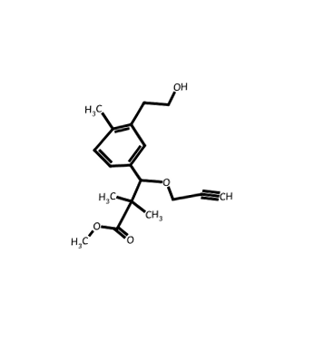 C#CCOC(c1ccc(C)c(CCO)c1)C(C)(C)C(=O)OC